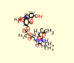 CC(C)CC(NC(=O)OC(C)(C)C)C(=O)NCCC(=O)OC(C)C(=O)OC1=CCC2(O)C3Cc4ccc(O)c5c4C2(CCN3C)C1O5